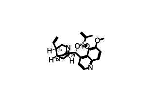 C=C[C@H]1CN2CC[C@H]1C[C@@H]2[C@H](O[S@](=O)C(=C)C)c1ccnc2ccc(OC)cc12